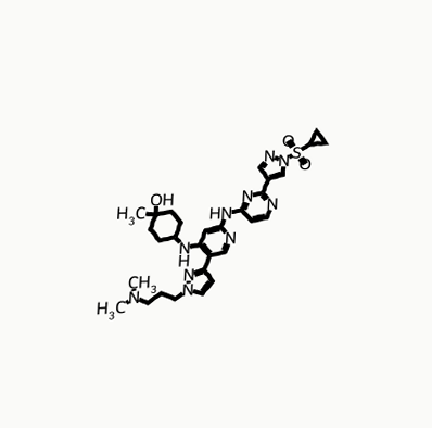 CN(C)CCCn1ccc(-c2cnc(Nc3ccnc(-c4cnn(S(=O)(=O)C5CC5)c4)n3)cc2NC2CCC(C)(O)CC2)n1